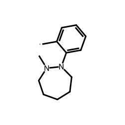 [CH2]c1ccccc1N1CCCCCN1C